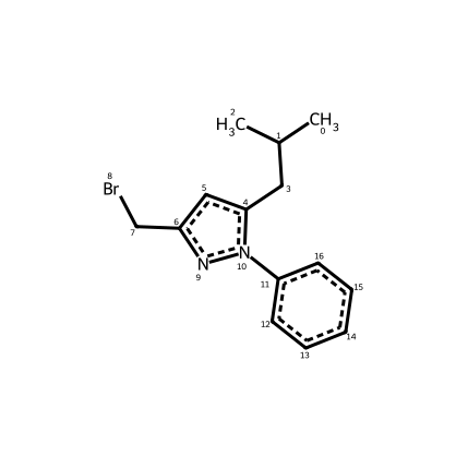 CC(C)Cc1cc(CBr)nn1-c1ccccc1